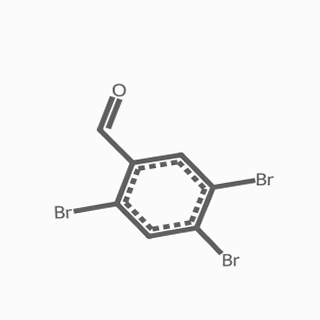 O=Cc1cc(Br)c(Br)cc1Br